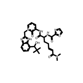 CN(C)C(=O)/C=C/CCC(NC(=O)c1ncco1)C(=O)Nc1cccn(Cc2nc3cccc(C(O)C(C)(C)C)c3[nH]2)c1=O